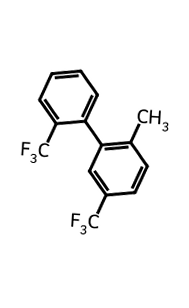 Cc1ccc(C(F)(F)F)cc1-c1ccccc1C(F)(F)F